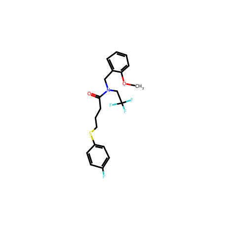 COc1ccccc1CN(CC(F)(F)F)C(=O)CCCSc1ccc(F)cc1